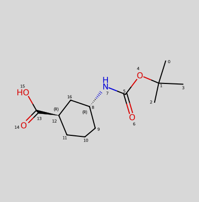 CC(C)(C)OC(=O)N[C@@H]1CCC[C@@H](C(=O)O)C1